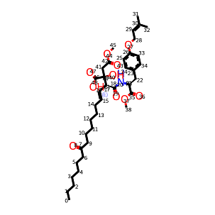 CCCCCCCC(=O)CCCCCC/C=C/[C@H](C(=O)N[C@@H](Cc1ccc(OCC=C(C)C)cc1)C(=O)OC)[C@@](O)(CC(=O)OC)C(=O)O